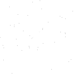 C=CC/C=C1/CCN2C(=O)CCC2C1